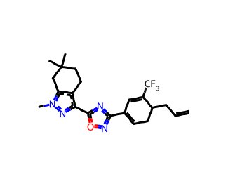 C=CCC1CC=C(c2noc(-c3nn(C)c4c3CCC(C)(C)C4)n2)C=C1C(F)(F)F